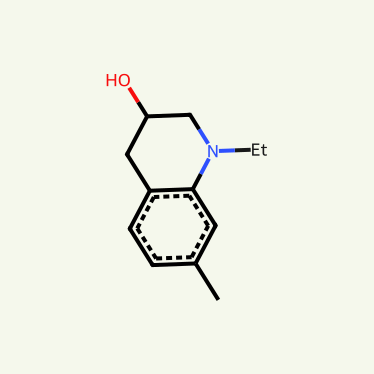 CCN1CC(O)Cc2ccc(C)cc21